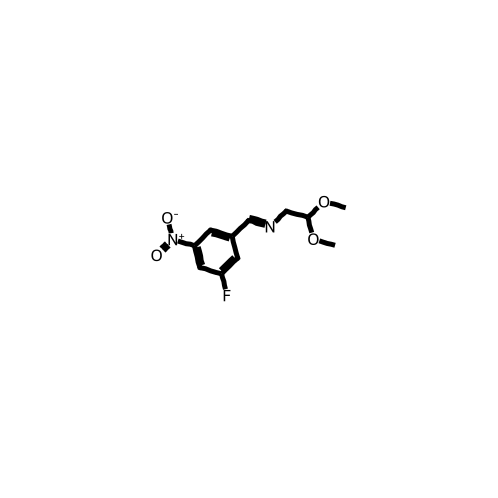 COC(CN=Cc1cc(F)cc([N+](=O)[O-])c1)OC